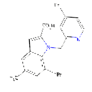 CCc1ccnc(Cn2c(C(=O)O)cc3cc(C)cc(C(C)C)c32)c1